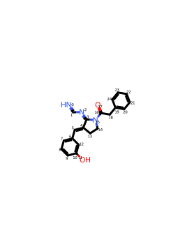 N=C/N=C1\C(=C\c2cccc(O)c2)CCN1C(=O)Cc1ccccc1